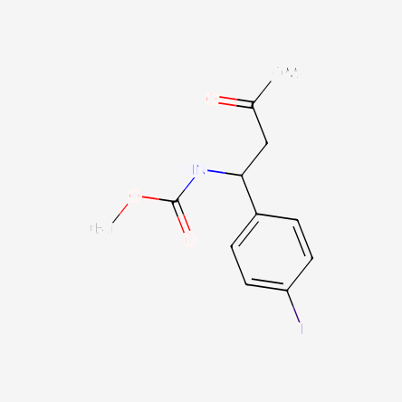 COC(=O)CC(NC(=O)OC(C)(C)C)c1ccc(I)cc1